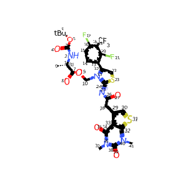 C[C@H](NC(=O)OC(C)(C)C)C(=O)OCn1c(-c2ccc(F)c(C(F)(F)F)c2F)cs/c1=N\C(=O)Cc1csc2c1c(=O)n(C)c(=O)n2C